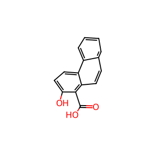 O=C(O)c1c(O)ccc2c1ccc1ccccc12